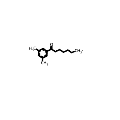 [CH2]CCCCCC(=O)c1cc(C)cc(C)c1